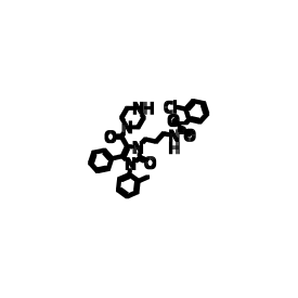 Cc1ccccc1-n1c(-c2ccccc2)c(C(=O)N2CCNCC2)n(CCCNS(=O)(=O)c2ccccc2Cl)c1=O